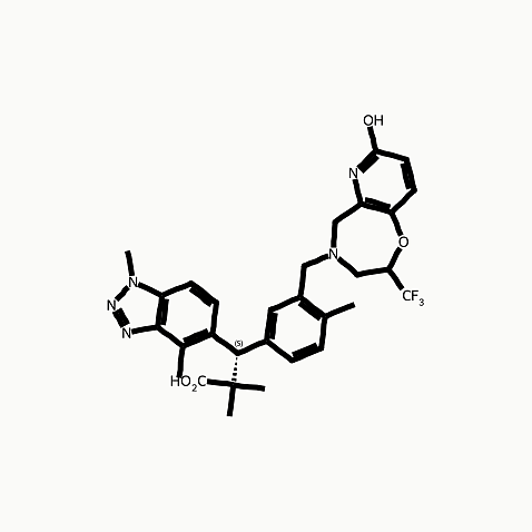 Cc1ccc([C@@H](c2ccc3c(nnn3C)c2C)C(C)(C)C(=O)O)cc1CN1Cc2nc(O)ccc2OC(C(F)(F)F)C1